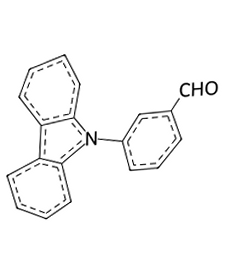 O=Cc1cccc(-n2c3ccccc3c3ccccc32)c1